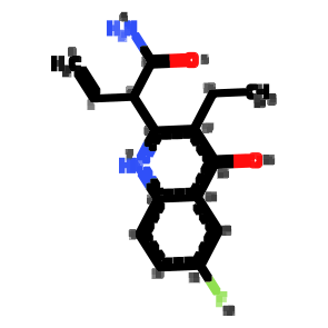 C=CC(C(N)=O)c1[nH]c2ccc(F)cc2c(=O)c1CC